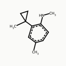 CNc1ccc(C)cc1C1(C)CC1